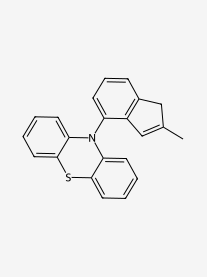 CC1=Cc2c(cccc2N2c3ccccc3Sc3ccccc32)C1